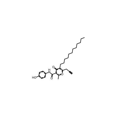 C#CCc1oc(C)c(C(=O)Nc2ccc(O)cc2)c(=O)c1CCCCCCCCCCCC